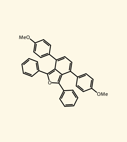 COc1ccc(-c2ccc(-c3ccc(OC)cc3)c3c(-c4ccccc4)oc(-c4ccccc4)c23)cc1